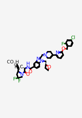 C[C@H](NC(=O)c1ccc2c(c1)nc(CN1CC=C(c3cccc(OCc4ccc(Cl)cc4F)n3)CC1)n2C[C@@H]1CCO1)C(=O)N1CC(F)(F)CC1C#CC(=O)O